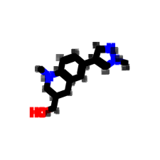 CN1CC(CO)Cc2cc(-c3cnn(C)c3)ccc21